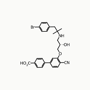 CC(C)(Cc1ccc(Br)cc1)NC[C@H](O)COc1cc(-c2ccc(C(=O)O)cc2)ccc1C#N